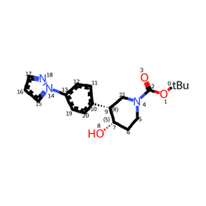 CC(C)(C)OC(=O)N1CC[C@H](O)[C@H](c2ccc(-n3cccn3)cc2)C1